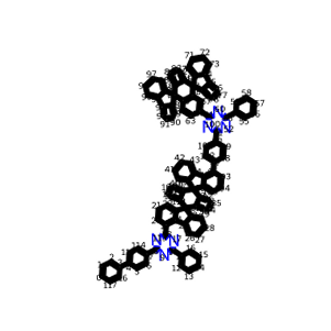 c1ccc(-c2ccc(-c3nc(-c4ccccc4)nc(-c4cccc5c4-c4ccccc4C54c5ccccc5C5(c6ccccc6-c6c(-c7ccc(-c8nc(-c9ccccc9)nc(-c9ccc%10c(c9)C9(c%11ccccc%11-c%11ccccc%119)c9ccccc9C%109c%10ccccc%10-c%10ccccc%109)n8)cc7)cccc65)c5ccccc54)n3)cc2)cc1